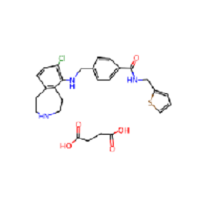 O=C(NCc1cccs1)c1ccc(CNc2c(Cl)ccc3c2CCNCC3)cc1.O=C(O)CCC(=O)O